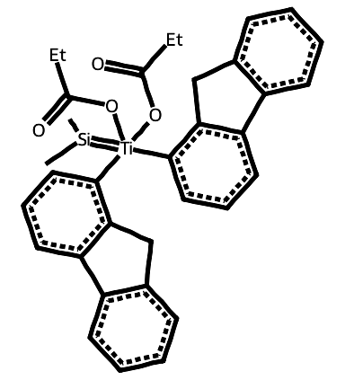 CCC(=O)[O][Ti]([O]C(=O)CC)([c]1cccc2c1Cc1ccccc1-2)([c]1cccc2c1Cc1ccccc1-2)=[Si](C)C